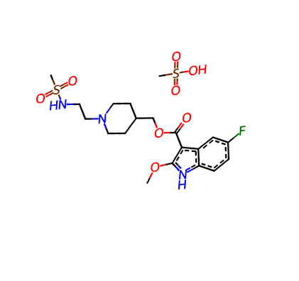 COc1[nH]c2ccc(F)cc2c1C(=O)OCC1CCN(CCNS(C)(=O)=O)CC1.CS(=O)(=O)O